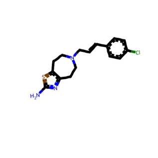 Nc1nc2c(s1)CCN(C/C=C/c1ccc(Cl)cc1)CC2